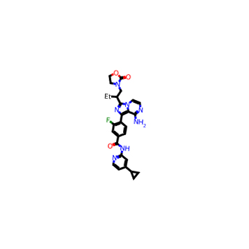 CCC(CN1CCOC1=O)c1nc(-c2ccc(C(=O)Nc3cc(C4CC4)ccn3)cc2F)c2c(N)nccn12